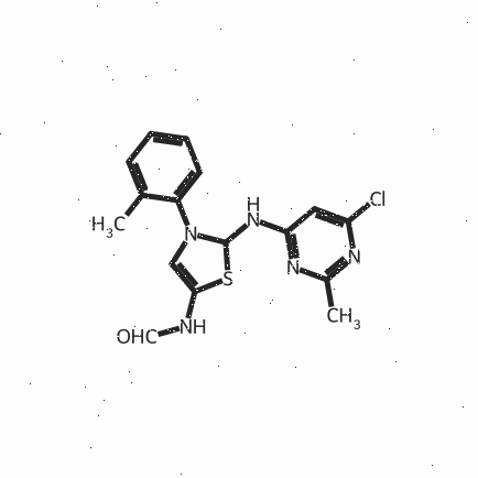 Cc1nc(Cl)cc(NC2SC(NC=O)=CN2c2ccccc2C)n1